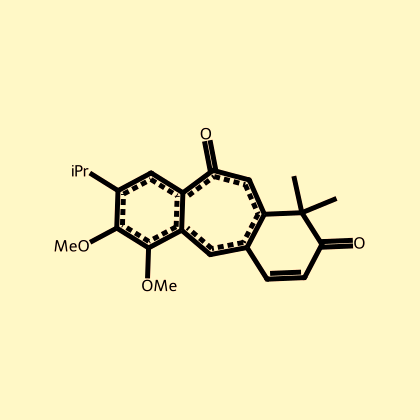 COc1c(C(C)C)cc2c(=O)cc3c(cc2c1OC)C=CC(=O)C3(C)C